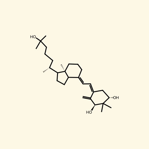 C=C1/C(=C\C=C2/CCC[C@@]3(C)C2CCC3[C@H](C)CCCC(C)(C)O)C[C@H](O)C(C)(C)[C@H]1O